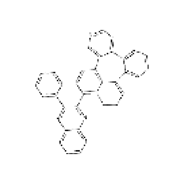 c1ccc(-c2nc3ccccc3nc2-c2ccc3c4c(cccc24)-c2ccccc2-c2ccncc2-3)cc1